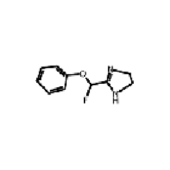 FC(Oc1ccccc1)C1=NCCN1